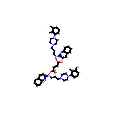 Cc1cccc(N2CCN(CCCN(OC(=O)/C=C/C(=O)ON(CCCN3CCN(c4cccc(C)c4C)CC3)c3ccc4ccccc4n3)c3ccc4ccccc4n3)CC2)c1C